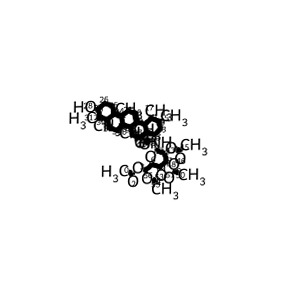 CC(=O)OCC1O[C@H](NC(=O)[C@]23CC[C@@H](C)[C@H](C)C2C2=CCC4[C@@]5(C)CC[C@H](O)C(C)(C)C5CC[C@@]4(C)[C@]2(C)C[C@H]3O)C(OC(C)=O)C(OC(C)=O)[C@@H]1OC(C)=O